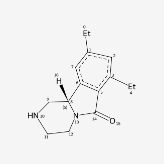 CCc1cc(CC)c2c(c1)[C@H]1CNCCN1C2=O